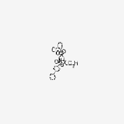 O=C(O)[C@@H]1C[C@@H](S(=O)(=O)c2ccccc2Cl)CN1S(=O)(=O)c1ccc(-c2ccccc2)cc1